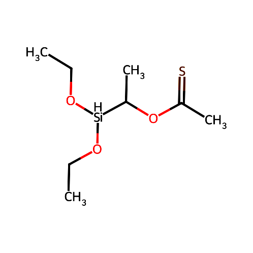 CCO[SiH](OCC)C(C)OC(C)=S